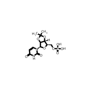 CC1(C)OC2[C@H](n3ccc(=O)[nH]c3=O)O[C@H](COP(=O)(O)O)[C@H]2O1